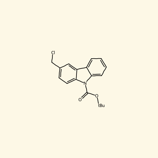 CC(C)(C)OC(=O)n1c2ccccc2c2cc(CCl)ccc21